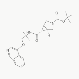 CC(C)(COc1cncc2ccccc12)NC(=O)[C@@H]1C2CN(C(=O)OC(C)(C)C)C[C@H]21